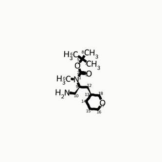 CN(C(=O)OC(C)(C)C)[C@H](CN)C[C@@H]1CCCOC1